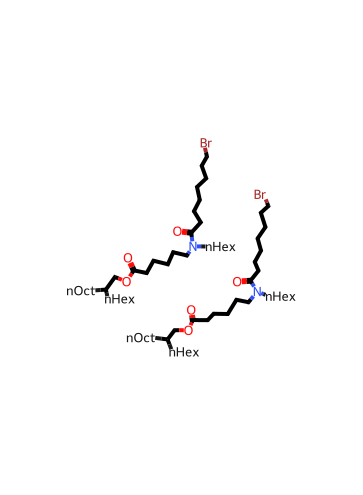 CCCCCCCCC(CCCCCC)COC(=O)CCCCCN(CCCCCC)C(=O)CCCCCCCBr.CCCCCCCCC(CCCCCC)COC(=O)CCCCCN(CCCCCC)C(=O)CCCCCCCBr